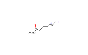 COC(=O)CCC/C=C/CI